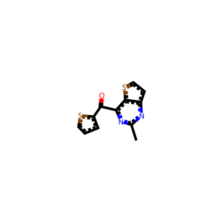 Cc1nc(C(=O)c2cccs2)c2sccc2n1